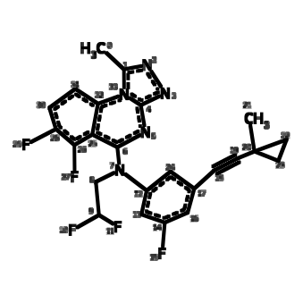 Cc1nnc2nc(N(CC(F)F)c3cc(F)cc(C#CC4(C)CC4)c3)c3c(F)c(F)ccc3n12